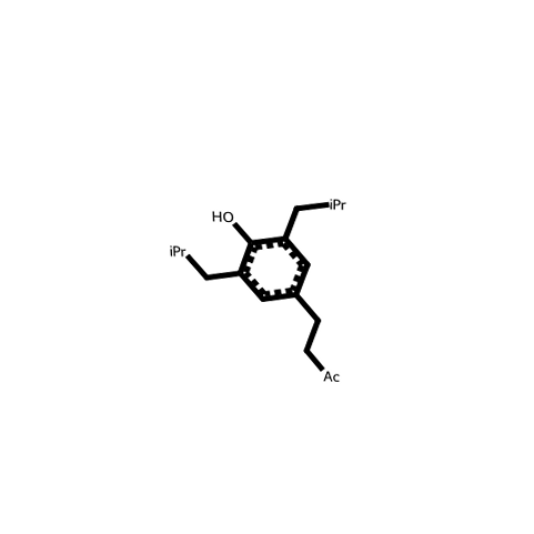 CC(=O)CCc1cc(CC(C)C)c(O)c(CC(C)C)c1